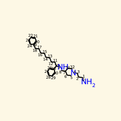 NCCCN1CCC(CNC(CCCCCCCCc2ccccc2)c2ccccc2)CC1